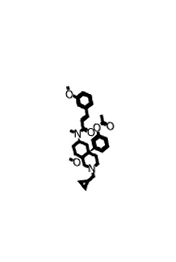 COc1cccc(C=CC(=O)N(C)[C@H]2CC[C@]3(OC)CN(CC4CC4)CC[C@@]3(c3cccc(OC(C)=O)c3)C2)c1